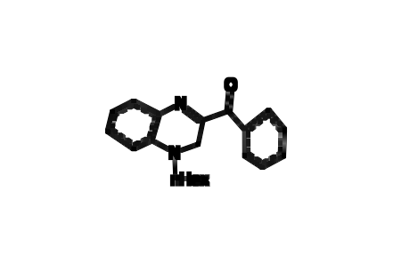 CCCCCCN1CC(C(=O)c2ccccc2)=Nc2ccccc21